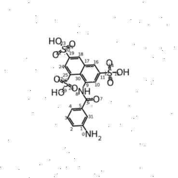 Nc1cccc(C(=O)Nc2cc(S(=O)(=O)O)cc3cc(S(=O)(=O)O)cc(S(=O)(=O)O)c23)c1